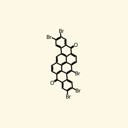 O=c1c2cc(Br)c(Br)cc2c2cc3ccc4c(=O)c5cc(Br)c(Br)cc5c5c(Br)c6ccc1c2c6c3c45